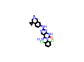 CN1Cc2cc(Nc3ncc4c(n3)NC(=O)N(c3c(Cl)cccc3Cl)C4N)ccc2C2(CC2)C1